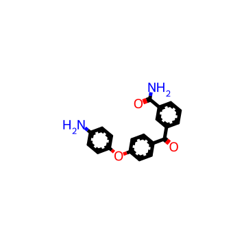 NC(=O)c1cccc(C(=O)c2ccc(Oc3ccc(N)cc3)cc2)c1